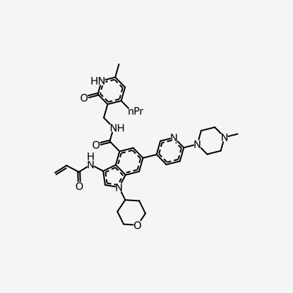 C=CC(=O)Nc1cn(C2CCOCC2)c2cc(-c3ccc(N4CCN(C)CC4)nc3)cc(C(=O)NCc3c(CCC)cc(C)[nH]c3=O)c12